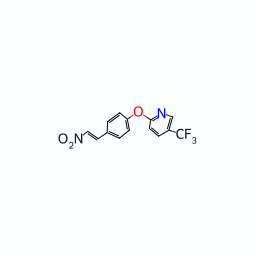 O=[N+]([O-])/C=C/c1ccc(Oc2ccc(C(F)(F)F)cn2)cc1